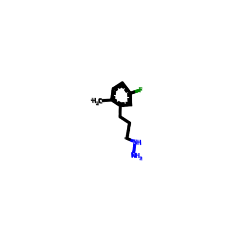 [CH2]c1ccc(F)cc1CC[CH]NN